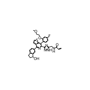 C=CC(=O)NCc1nc(-c2nc(-c3ccc4c(c3)C(O)CC4)c3ccsc3c2-c2ccc(F)cc2OCCOC)n[nH]1